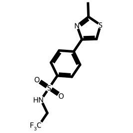 Cc1nc(-c2ccc(S(=O)(=O)NCC(F)(F)F)cc2)cs1